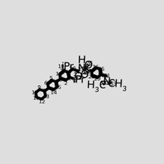 CC(C)c1cc(-c2ccc(C3CCCCC3)cc2)cc(C(C)C)c1CC(=O)NS(=O)(=O)c1ccc(CN(C)C)cc1